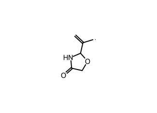 [CH2]C(=C)C1NC(=O)CO1